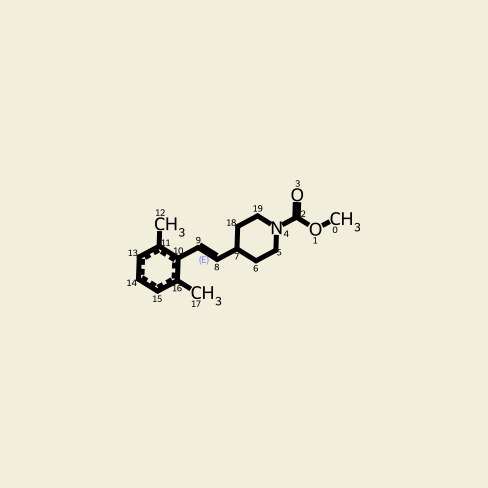 COC(=O)N1CCC(/C=C/c2c(C)cccc2C)CC1